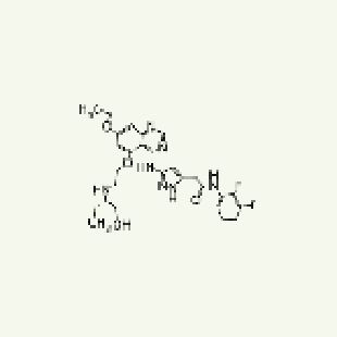 CCOc1cc(OCCN[C@@H](CC)CO)c2c(Nc3cc(CC(=O)Nc4cccc(F)c4F)[nH]n3)ncnc2c1